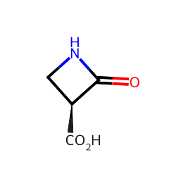 O=C(O)[C@H]1CNC1=O